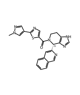 Cn1cc(-c2ncc(C(=O)N3CCc4[nH]cnc4[C@@H]3c3cc4ccccc4cn3)s2)cn1